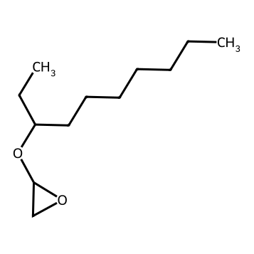 CCCCCCCC(CC)OC1CO1